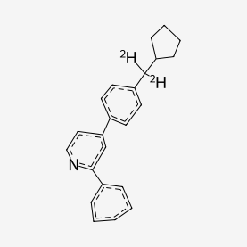 [2H]C([2H])(c1ccc(-c2ccnc(-c3ccccc3)c2)cc1)C1CCCC1